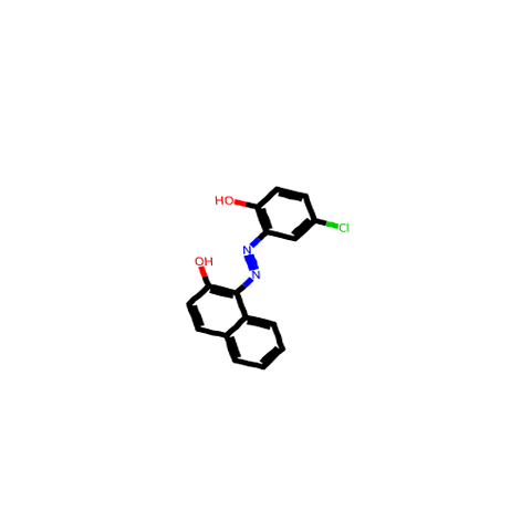 Oc1ccc(Cl)cc1N=Nc1c(O)ccc2ccccc12